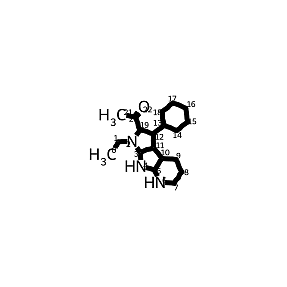 CCN1C2NC3NCCCC3C2C(C2CCCCC2)C1C(C)=O